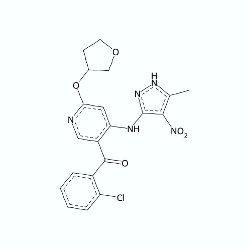 Cc1[nH]nc(Nc2cc(OC3CCOC3)ncc2C(=O)c2ccccc2Cl)c1[N+](=O)[O-]